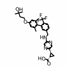 Cc1cc(OCCC(C)(C)O)cc(C)c1-c1cc(CNc2cnc([C@H]3C[C@@H]3C(=O)O)cn2)ccc1C(F)(F)F